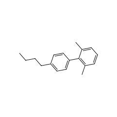 CCCCc1ccc(-c2c(C)cccc2C)cc1